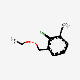 O=C(O)c1cccc(COCC(F)(F)F)c1Cl